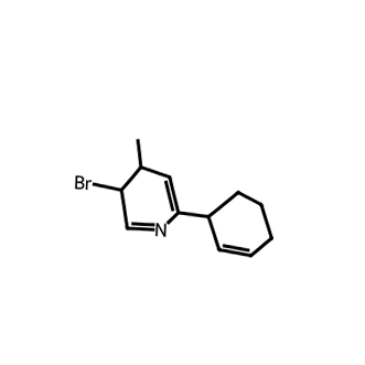 CC1C=C(C2C=CCCC2)N=CC1Br